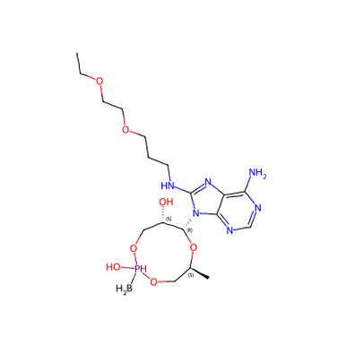 B[PH]1(O)OC[C@H](C)O[C@@H](n2c(NCCCOCCOCC)nc3c(N)ncnc32)[C@@H](O)CO1